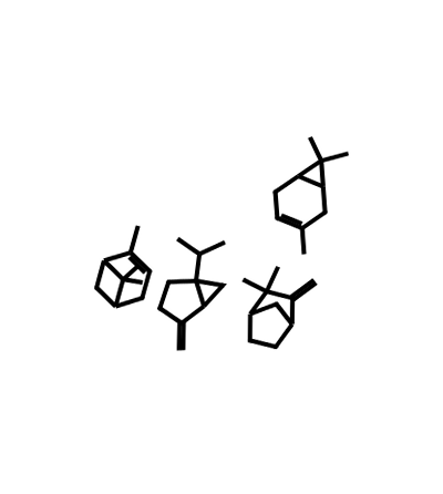 C=C1C2CCC(C2)C1(C)C.C=C1CCC2(C(C)C)CC12.CC1=CCC2C(C1)C2(C)C.CC1=CCC2CC1C2(C)C